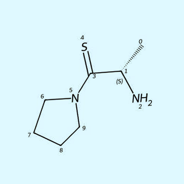 C[C@H](N)C(=S)N1CCCC1